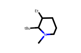 CCC1CCCN(C)C1C(C)(C)C